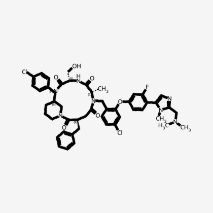 C[C@H]1C(=O)N[C@@H](CO)C(=O)N[C@@]2(Cc3ccc(Cl)cc3)CCCN(C2)C(=O)[C@H](Cc2ccccc2)CC(=O)N1Cc1ccc(Cl)cc1Oc1ccc(-c2cnc(CN(C)C)n2C)c(F)c1